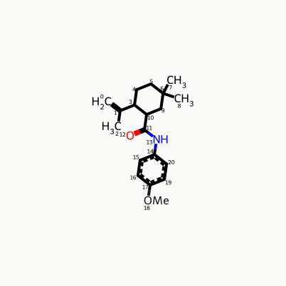 C=C(C)C1CCC(C)(C)CC1C(=O)Nc1ccc(OC)cc1